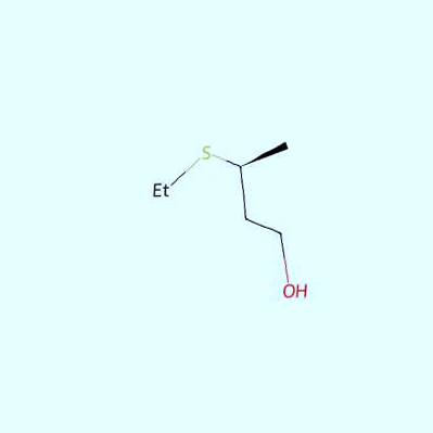 CCS[C@@H](C)CCO